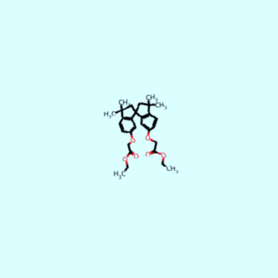 CCOC(=O)COc1ccc2c(c1)C1(CC2(C)C)CC(C)(C)c2ccc(OCC(=O)OCC)cc21